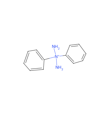 N[N+](N)(c1ccccc1)c1ccccc1